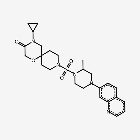 CC1CN(c2ccc3cccnc3c2)CCN1S(=O)(=O)N1CCC2(CC1)CN(C1CC1)C(=O)CO2